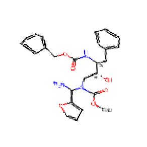 CC(C)(C)OC(=O)N(C[C@@H](O)[C@H](Cc1ccccc1)NC(=O)OCc1ccccc1)C(N)c1ccco1